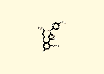 COc1cc(F)cc(OCCCN)c1-c1cc(Nc2cnc(C)cn2)n[nH]1